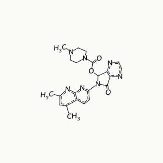 Cc1cc(C)c2ccc(N3C(=O)c4nccnc4C3OC(=O)N3CCN(C)CC3)nc2n1